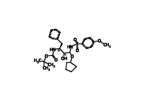 COc1ccc(S(=O)(=O)NC(OC2CCCC2)[C@H](O)[C@H](Cc2ccccc2)NC(=O)OC(C)(C)C)cc1